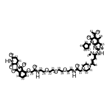 C=N/C(=C\C=C(/C)N1CCN(CC(=O)NCCOCCOCCOCCNC(=O)COc2cccc3c2C(=O)N(C2CCC(=O)NC2=O)C3=O)CC1)Nc1ncc2c(C)c(C(C)=O)c(=O)n(C3CCCC3)c2n1